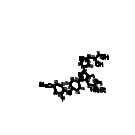 C=N/C(=C\c1c(C)c(-c2cnn(C[C@@H](O)CO)c2)nn1C1CCC(Oc2ccc(OC)cc2F)CC1)NCC